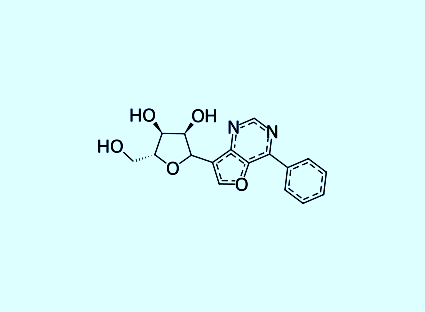 OC[C@H]1OC(c2coc3c(-c4ccccc4)ncnc23)[C@H](O)[C@@H]1O